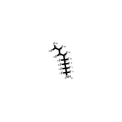 NC(F)(F)C(F)(F)C(F)(F)C(F)(F)C(F)C(F)C(F)C(F)F